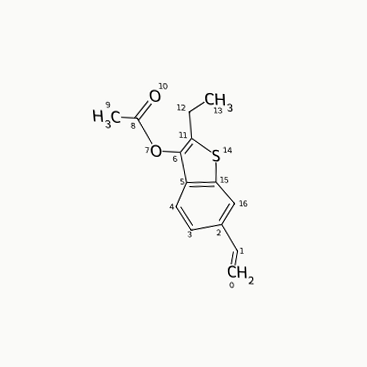 C=Cc1ccc2c(OC(C)=O)c(CC)sc2c1